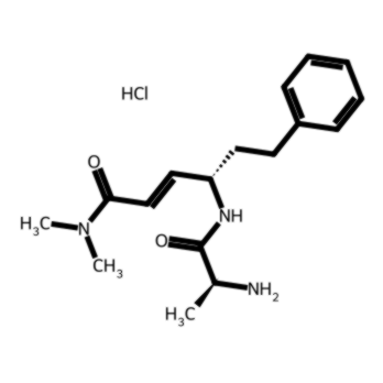 C[C@H](N)C(=O)N[C@H](/C=C/C(=O)N(C)C)CCc1ccccc1.Cl